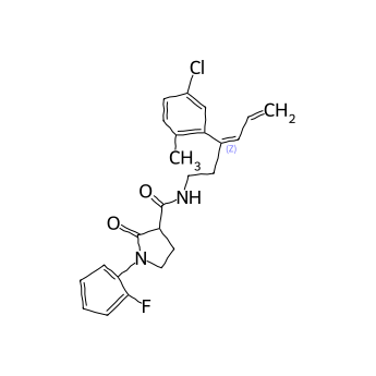 C=C/C=C(/CCNC(=O)C1CCN(c2ccccc2F)C1=O)c1cc(Cl)ccc1C